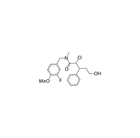 COc1ccc(CN(C)C(=O)C(Cl)C(CCO)c2ccccc2)cc1F